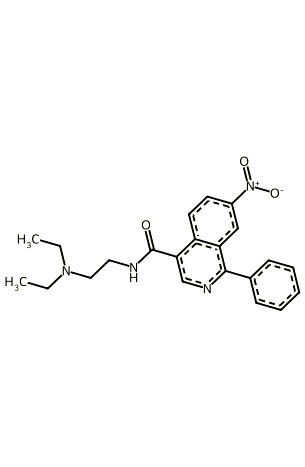 CCN(CC)CCNC(=O)c1cnc(-c2ccccc2)c2cc([N+](=O)[O-])ccc12